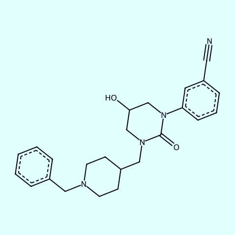 N#Cc1cccc(N2CC(O)CN(CC3CCN(Cc4ccccc4)CC3)C2=O)c1